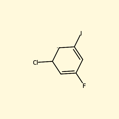 FC1=CC(Cl)[CH]C(I)=C1